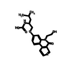 CC(C)CC(COc1ccc2c3ccncc3c(=O)n(CCO)c2c1)NC(=O)O